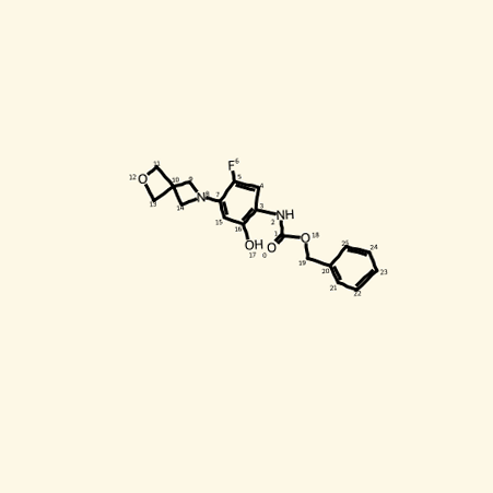 O=C(Nc1cc(F)c(N2CC3(COC3)C2)cc1O)OCc1ccccc1